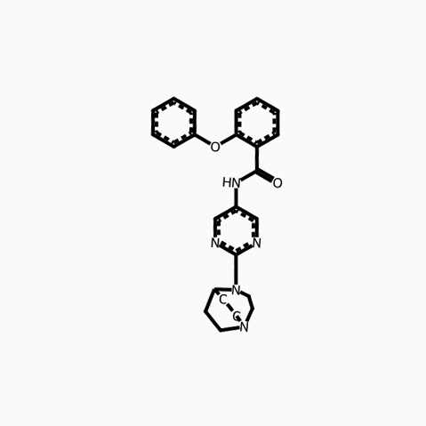 O=C(Nc1cnc(N2CCN3CCC2CC3)nc1)c1ccccc1Oc1ccccc1